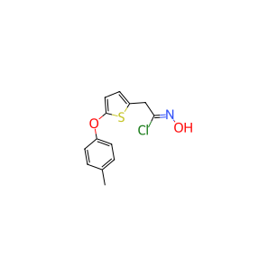 Cc1ccc(Oc2ccc(CC(Cl)=NO)s2)cc1